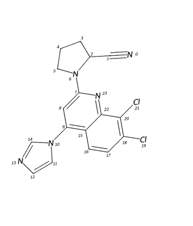 N#CC1CCCN1c1cc(-n2ccnc2)c2ccc(Cl)c(Cl)c2n1